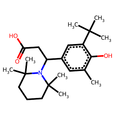 Cc1cc(C(CC(=O)O)N2C(C)(C)CCCC2(C)C)cc(C(C)(C)C)c1O